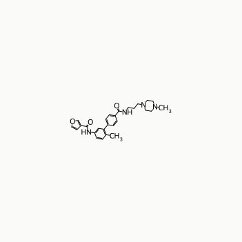 Cc1ccc(NC(=O)c2ccoc2)cc1-c1ccc(C(=O)NCCCN2CCN(C)CC2)cc1